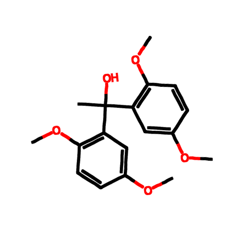 COc1ccc(OC)c(C(C)(O)c2cc(OC)ccc2OC)c1